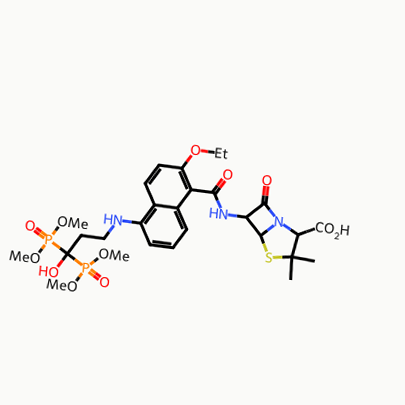 CCOc1ccc2c(NCCC(O)(P(=O)(OC)OC)P(=O)(OC)OC)cccc2c1C(=O)NC1C(=O)N2C1SC(C)(C)C2C(=O)O